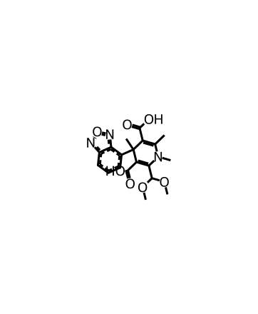 COC(OC)C1=C(C(=O)O)C(C)(c2cccc3nonc23)C(C(=O)O)=C(C)N1C